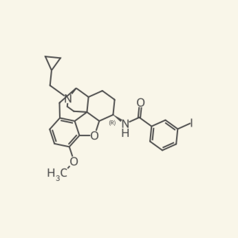 COc1ccc2c3c1OC1[C@H](NC(=O)c4cccc(I)c4)CCC4C(C2)N(CC2CC2)CCC341